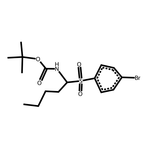 CCCCC(NC(=O)OC(C)(C)C)S(=O)(=O)c1ccc(Br)cc1